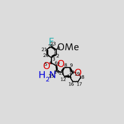 COc1cc(C(=O)c2oc3cc4c(cc3c2N)CCCO4)ccc1F